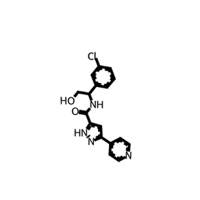 O=C(NC(CO)c1cccc(Cl)c1)c1cc(-c2ccncc2)n[nH]1